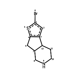 Brc1cc2c(s1)CC1CNCCC21